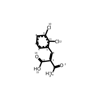 CC(=O)C(=Cc1cccc(Cl)c1Cl)C(=O)O